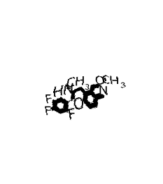 CN[C@H]1Cc2c(ccc3cnc(OC)cc23)O[C@@H]1c1cc(F)c(F)cc1F